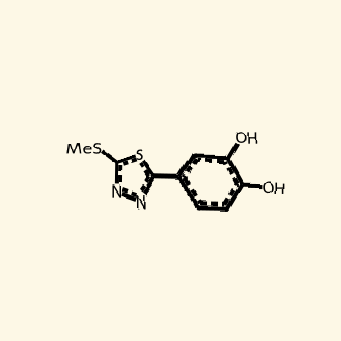 [CH2]Sc1nnc(-c2ccc(O)c(O)c2)s1